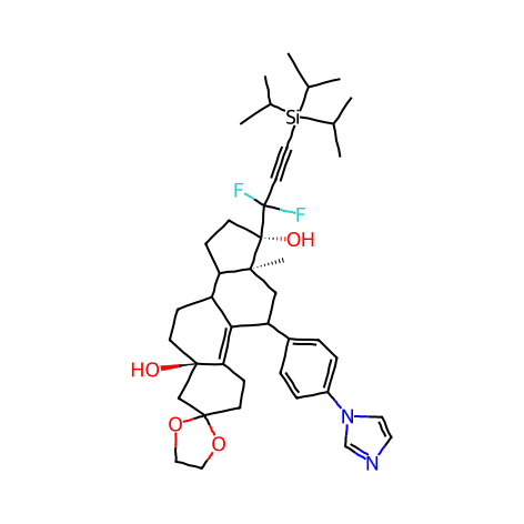 CC(C)[Si](C#CC(F)(F)[C@]1(O)CCC2C3CC[C@@]4(O)CC5(CCC4=C3C(c3ccc(-n4ccnc4)cc3)C[C@@]21C)OCCO5)(C(C)C)C(C)C